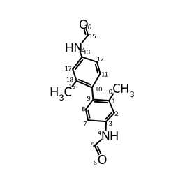 Cc1cc(NC=O)ccc1-c1ccc(NC=O)cc1C